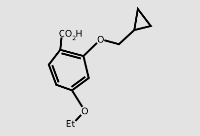 CCOc1ccc(C(=O)O)c(OCC2CC2)c1